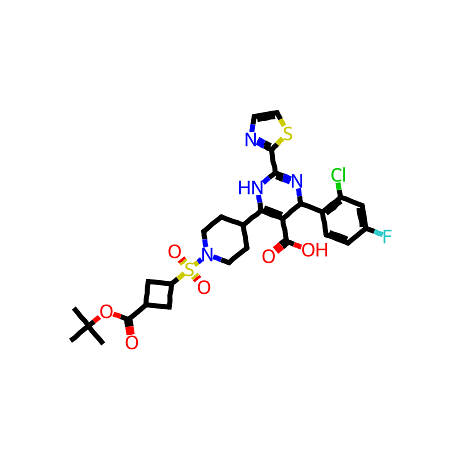 CC(C)(C)OC(=O)C1CC(S(=O)(=O)N2CCC(C3=C(C(=O)O)C(c4ccc(F)cc4Cl)N=C(c4nccs4)N3)CC2)C1